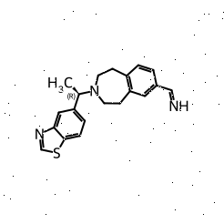 C[C@H](c1ccc2scnc2c1)N1CCc2ccc(C=N)cc2CC1